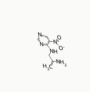 C=C(N)CNc1ncncc1[N+](=O)[O-]